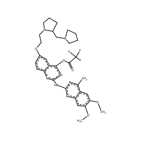 COc1cc2nc(Nc3nc(OC(=O)C(F)(F)F)c4cc(OCCN5CCCC5CN5CCCC5)ccc4n3)nc(C)c2cc1OC